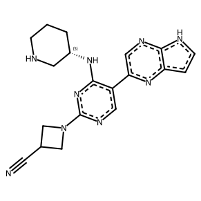 N#CC1CN(c2ncc(-c3cnc4[nH]ccc4n3)c(N[C@H]3CCCNC3)n2)C1